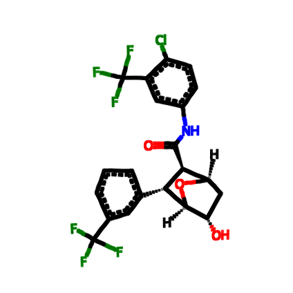 O=C(Nc1ccc(Cl)c(C(F)(F)F)c1)[C@@H]1[C@@H](c2cccc(C(F)(F)F)c2)[C@H]2O[C@@H]1C[C@@H]2O